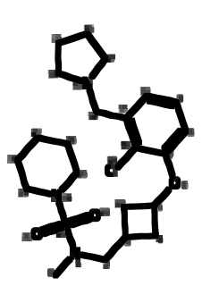 CN(CC1CC(Oc2cccc(CN3CCCC3)c2Cl)C1)S(=O)(=O)N1CCCCC1